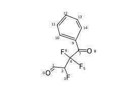 O=CC(F)C(F)(F)C(=O)c1ccccc1